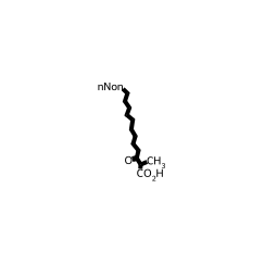 CCCCCCCCCCCCCCCCCCC(=O)C(C)C(=O)O